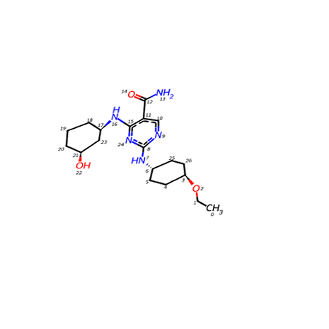 CCO[C@H]1CC[C@H](Nc2ncc(C(N)=O)c(N[C@@H]3CCC[C@H](O)C3)n2)CC1